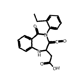 CCc1ccccc1N1C(=O)c2ccccc2NC(CC(=O)O)C1=C=O